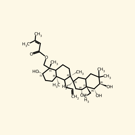 C=CCC1[C@@]2(C)CC[C@H](O)[C@](C)(COC(=O)C=C(C)C)C2CC[C@@]1(C)[C@@]1(C)CC2CC(C)(C)[C@@H](O)[C@H](O)[C@]2(CC)[C@H](O)C1